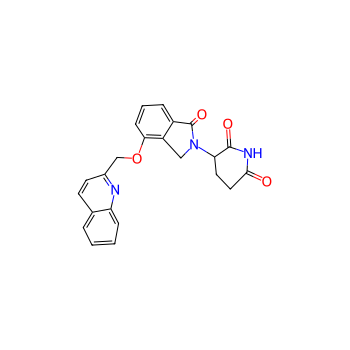 O=C1CCC(N2Cc3c(OCc4ccc5ccccc5n4)cccc3C2=O)C(=O)N1